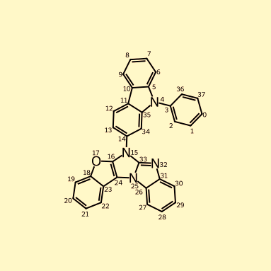 c1ccc(-n2c3ccccc3c3ccc(-n4c5oc6ccccc6c5n5c6ccccc6nc45)cc32)cc1